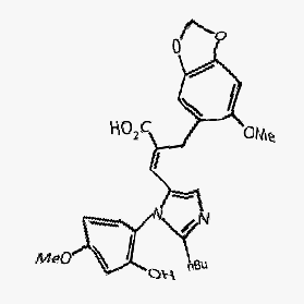 CCCCc1ncc(/C=C(\Cc2cc3c(cc2OC)OCO3)C(=O)O)n1-c1ccc(OC)cc1O